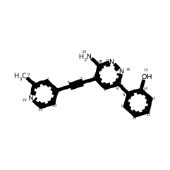 Cc1cc(C#Cc2cc(-c3ccccc3O)nnc2N)ccn1